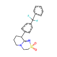 O=S1(=O)CCN2CCCC(c3ccc(C(F)(F)c4ccccc4)cc3)C2=N1